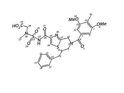 COc1cc(C(=O)N(CCCc2ccccc2)Cc2nc(C(=O)NS(=O)(=O)N(C)CC(=O)O)cs2)cc(OC)c1C